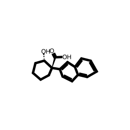 O=C(O)[C@@]1(c2ccc3ccccc3c2)CCCC[C@@H]1O